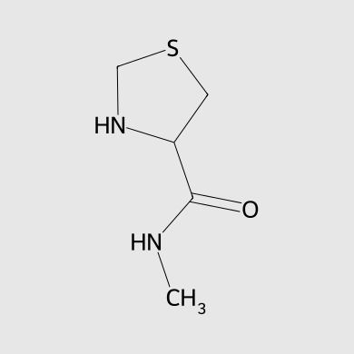 CNC(=O)C1CSCN1